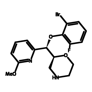 COc1cccc([C@H](Oc2c(F)cccc2Br)[C@@H]2CNCCO2)n1